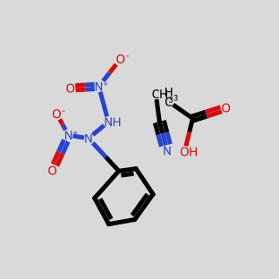 CC#N.CC(=O)O.O=[N+]([O-])NN(c1ccccc1)[N+](=O)[O-]